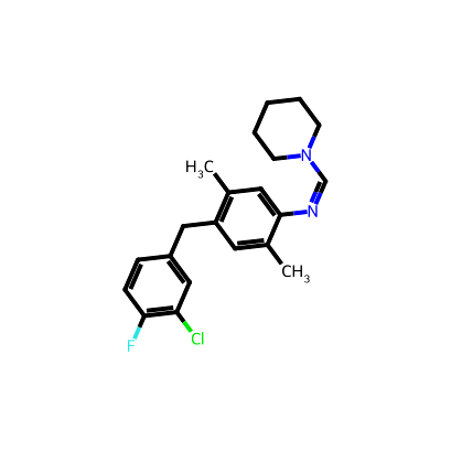 Cc1cc(/N=C\N2CCCCC2)c(C)cc1Cc1ccc(F)c(Cl)c1